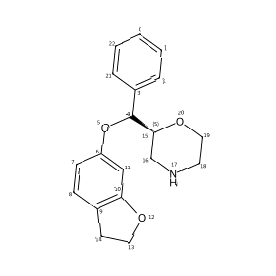 c1ccc(C(Oc2ccc3c(c2)OCC3)[C@@H]2CNCCO2)cc1